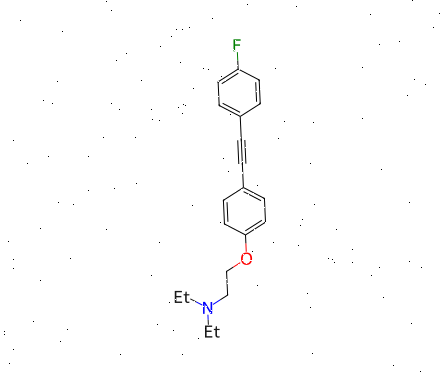 CCN(CC)CCOc1ccc(C#Cc2ccc(F)cc2)cc1